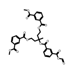 COC(=O)c1cccc(C(=O)OCCC(C)(CCOC(=O)c2cccc(C(=O)OC)c2)OC(=O)c2cccc(C(=O)OC=O)c2)c1